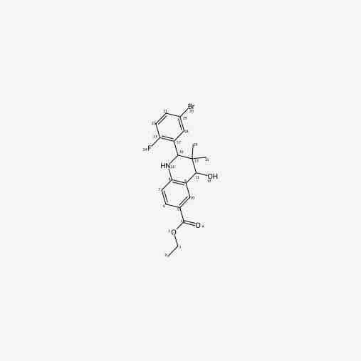 CCOC(=O)c1ccc2c(c1)C(O)C(C)(C)C(c1cc(Br)ccc1F)N2